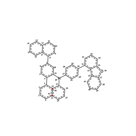 c1ccc(-c2ccc(-c3cccc4ccccc34)cc2N(c2ccccc2)c2ccc(-c3cccc4oc5ccccc5c34)cc2)cc1